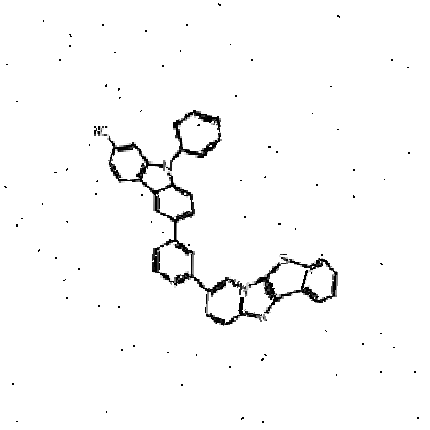 N#Cc1ccc2c3cc(-c4cccc(-c5ccc6nc7c8ccccc8sc7n6c5)c4)ccc3n(C3C=CC=CC3)c2c1